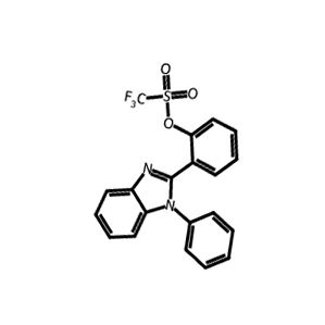 O=S(=O)(Oc1ccccc1-c1nc2ccccc2n1-c1ccccc1)C(F)(F)F